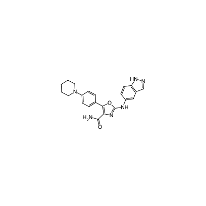 NC(=O)c1nc(Nc2ccc3[nH]ncc3c2)oc1-c1ccc(N2CCCCC2)cc1